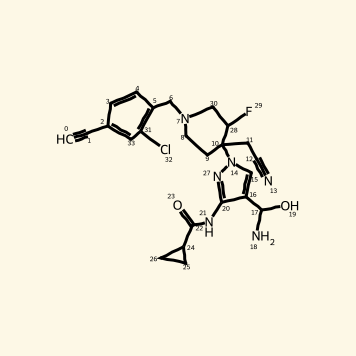 C#Cc1ccc(CN2CCC(CC#N)(n3cc(C(N)O)c(NC(=O)C4CC4)n3)C(F)C2)c(Cl)c1